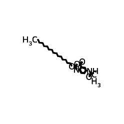 CCCCCCCCCCCCCCCCOc1nc2ccc(NC(C)=O)cc2c(=O)o1